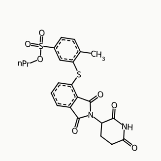 CCCOS(=O)(=O)c1ccc(C)c(Sc2cccc3c2C(=O)N(C2CCC(=O)NC2=O)C3=O)c1